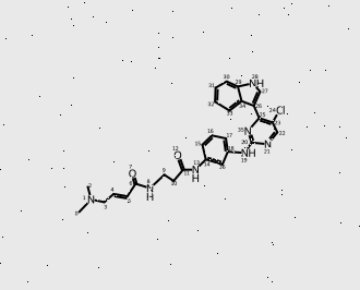 CN(C)CC=CC(=O)NCCC(=O)Nc1cccc(Nc2ncc(Cl)c(-c3c[nH]c4ccccc34)n2)c1